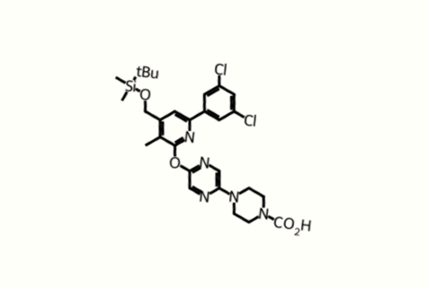 Cc1c(CO[Si](C)(C)C(C)(C)C)cc(-c2cc(Cl)cc(Cl)c2)nc1Oc1cnc(N2CCN(C(=O)O)CC2)cn1